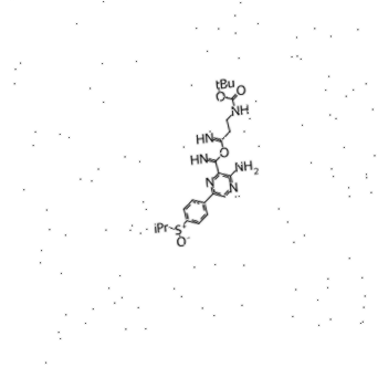 CC(C)[S+]([O-])c1ccc(-c2cnc(N)c(C(=N)OC(=N)CCNC(=O)OC(C)(C)C)n2)cc1